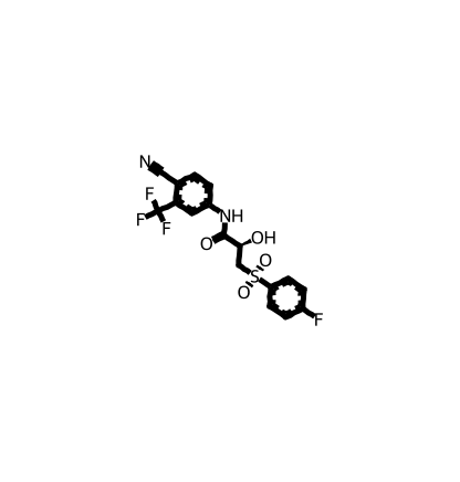 N#Cc1ccc(NC(=O)[C@@H](O)CS(=O)(=O)c2ccc(F)cc2)cc1C(F)(F)F